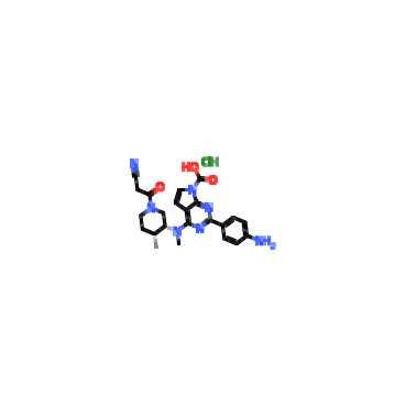 C[C@@H]1CCN(C(=O)CC#N)C[C@@H]1N(C)c1nc(-c2ccc(N)cc2)nc2c1ccn2C(=O)O.Cl